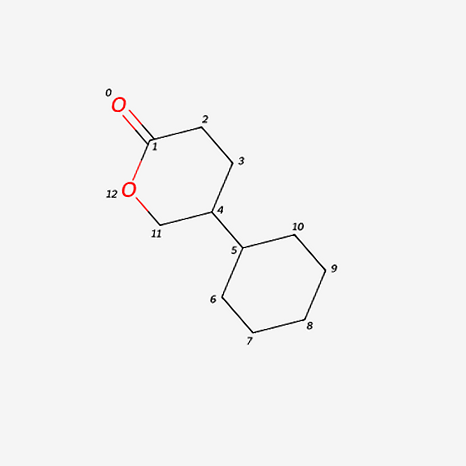 O=C1CCC(C2CCCCC2)CO1